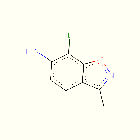 Cc1noc2c(Br)c(N)ccc12